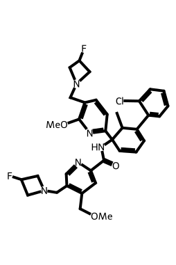 COCc1cc(C(=O)NC2(c3ccc(CN4CC(F)C4)c(OC)n3)C=CC=C(c3ccccc3Cl)C2C)ncc1CN1CC(F)C1